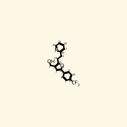 OCc1cc(-c2ccc(C(F)(F)F)cc2)oc1CCc1ccccn1